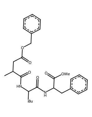 CCC(C)C(NC(=O)C(C)CC(=O)OCc1ccccc1)C(=O)NC(Cc1ccccc1)C(=O)OC